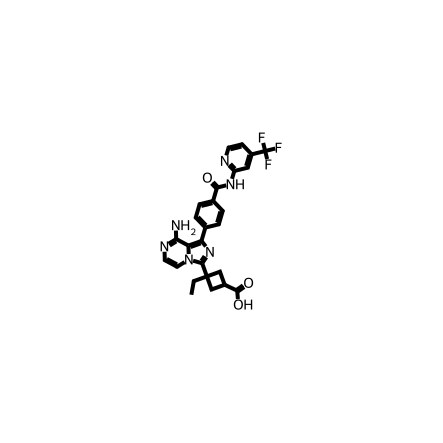 CCC1(c2nc(-c3ccc(C(=O)Nc4cc(C(F)(F)F)ccn4)cc3)c3c(N)nccn23)CC(C(=O)O)C1